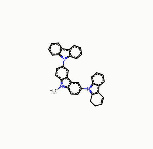 Cn1c2ccc(-n3c4c(c5ccccc53)C=CCC4)cc2c2cc(-n3c4ccccc4c4ccccc43)ccc21